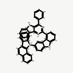 c1ccc(-c2nc(-c3cccc4oc5ccc(-n6c7ccccc7c7ccc8ccccc8c76)cc5c34)nc3c2sc2ccccc23)cc1